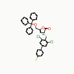 O=C1OC(COC(c2ccccc2)(c2ccccc2)c2ccccc2)=C[C@H]1Cc1c(Cl)cc(-c2ccc(F)cc2)cc1Cl